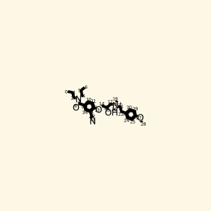 CCCN(CCC)C(=O)c1ccc(OC[C@H](O)C[N+](C)(C)CCc2ccc(OC)cc2)c(C#N)c1